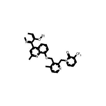 C/C=C(OCC)\C(=N/C)c1cc(C)nc2c(OCc3c(C)ccnc3Cn3cccc(C(F)(F)F)c3=O)cccc12